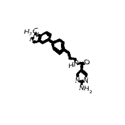 Cn1ncc2cc(-c3ccc(CCCNC(=O)c4cnc(N)nc4)cc3)ccc21